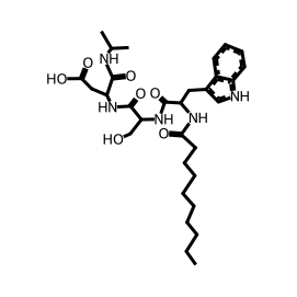 CCCCCCCCCC(=O)NC(Cc1c[nH]c2ccccc12)C(=O)NC(CO)C(=O)NC(CC(=O)O)C(=O)NC(C)C